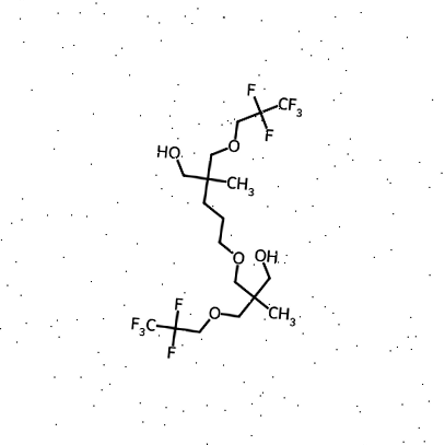 CC(CO)(CCCOCC(C)(CO)COCC(F)(F)C(F)(F)F)COCC(F)(F)C(F)(F)F